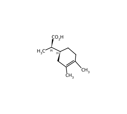 CC1=C(C)C[C@@H]([C@@H](C)C(=O)O)CC1